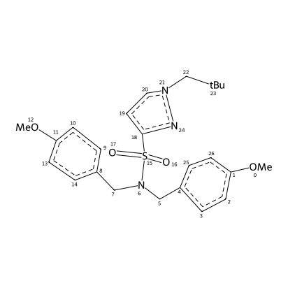 COc1ccc(CN(Cc2ccc(OC)cc2)S(=O)(=O)c2ccn(CC(C)(C)C)n2)cc1